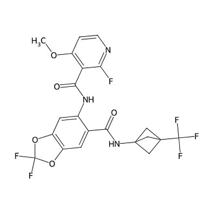 COc1ccnc(F)c1C(=O)Nc1cc2c(cc1C(=O)NC13CC(C(F)(F)F)(C1)C3)OC(F)(F)O2